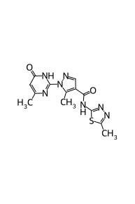 Cc1cc(=O)[nH]c(-n2ncc(C(=O)Nc3nnc(C)s3)c2C)n1